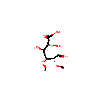 CO[C@@H]([C@@H](O)[C@H](O)C(=O)O)[C@H](C=O)OC